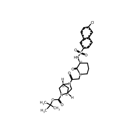 CC(C)(C)OC(=O)N1C[C@H]2C[C@@H]1CN2C(=O)CN1CCC[C@H](NS(=O)(=O)c2ccc3cc(Cl)ccc3c2)C1=O